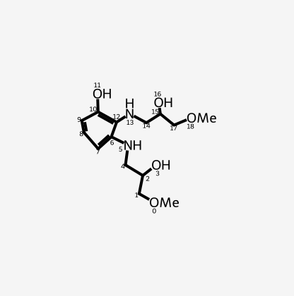 COCC(O)CNc1cccc(O)c1NCC(O)COC